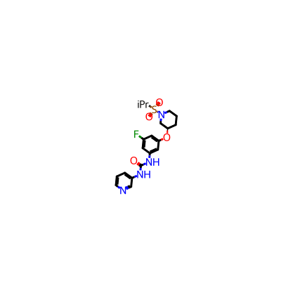 CC(C)S(=O)(=O)N1CCC[C@@H](Oc2cc(F)cc(NC(=O)Nc3cccnc3)c2)C1